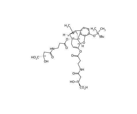 CN1CC[C@]23c4c5ccc(O[Si](C)(C)C(C)(C)C)c4O[C@H]2C(OC(=O)CCNC(=O)C[C@H](O)C(=O)O)=CC[C@@]3(OC(=O)CCNC(=O)C[C@H](O)C(=O)O)[C@H]1C5